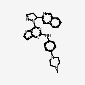 CN1CCN(c2ccc(Nc3nc(N4N=CCC4c4cc5ccccc5cn4)c4sccc4n3)cc2)CC1